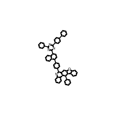 c1ccc(-c2ccc(-c3nc(-c4ccccc4)nc(-c4ccc(-c5ccc(-c6nc7ccccc7c7c(-c8ccccc8)c8c(cc67)oc6ccccc68)cc5)c5ccccc45)n3)cc2)cc1